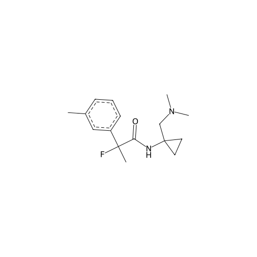 Cc1cccc(C(C)(F)C(=O)NC2(CN(C)C)CC2)c1